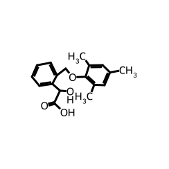 Cc1cc(C)c(OCc2ccccc2C(O)C(=O)O)c(C)c1